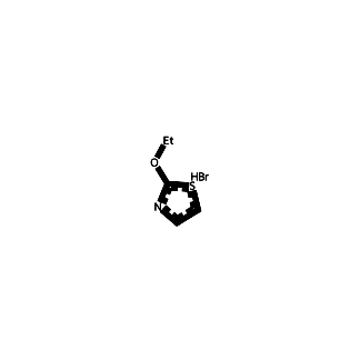 Br.CCOc1nccs1